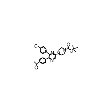 CC(=O)c1ccc(-c2ncc(N3CCN(C(=O)OC(C)(C)C)CC3)nc2-c2ccc(Cl)cc2)cc1